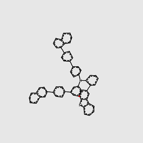 c1cc(-c2ccc(-c3ccc4ccccc4c3)cc2)cc(N(c2ccc(-c3ccc(-c4cccc5ccccc45)cc3)cc2)c2ccccc2-c2ccc3sc4ccccc4c3c2)c1